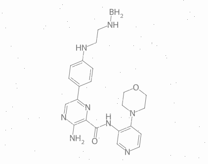 BNCCNc1ccc(-c2cnc(N)c(C(=O)Nc3cnccc3N3CCOCC3)n2)cc1